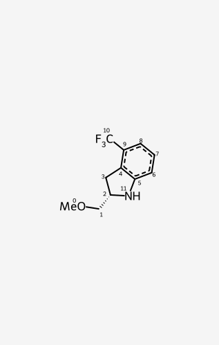 COC[C@@H]1Cc2c(cccc2C(F)(F)F)N1